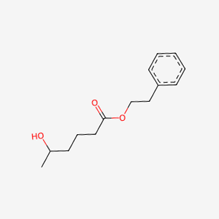 CC(O)CCCC(=O)OCCc1ccccc1